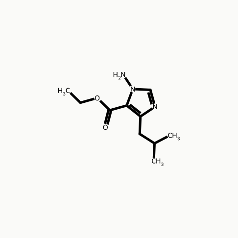 CCOC(=O)c1c(CC(C)C)ncn1N